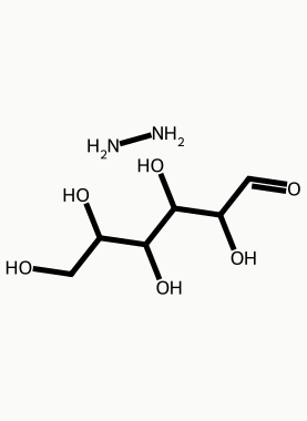 NN.O=CC(O)C(O)C(O)C(O)CO